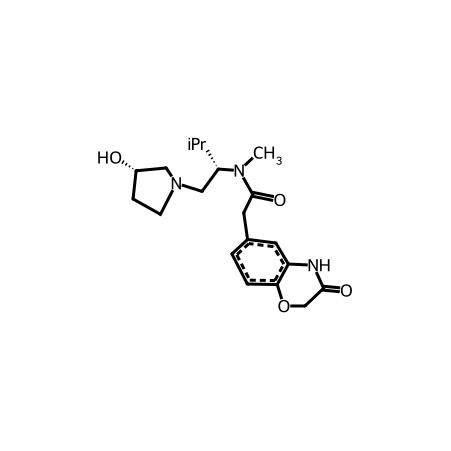 CC(C)[C@@H](CN1CC[C@H](O)C1)N(C)C(=O)Cc1ccc2c(c1)NC(=O)CO2